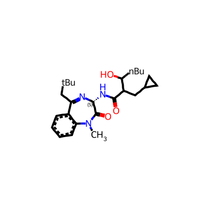 CCCCC(O)C(CC1CC1)C(=O)N[C@H]1N=C(CC(C)(C)C)c2ccccc2N(C)C1=O